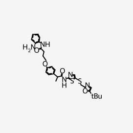 CC(C(=O)Nc1ncc(SCc2ncc(C(C)(C)C)o2)s1)c1ccc(OCCCC(=O)Nc2ccccc2N)cc1